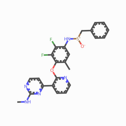 CNc1nccc(-c2cccnc2Oc2c(C)cc(N[S+]([O-])Cc3ccccc3)c(F)c2F)n1